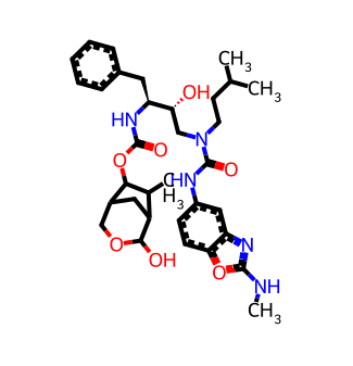 CNc1nc2cc(NC(=O)N(CCC(C)C)C[C@@H](O)[C@H](Cc3ccccc3)NC(=O)OC3C4COC(O)C(C4)C3C)ccc2o1